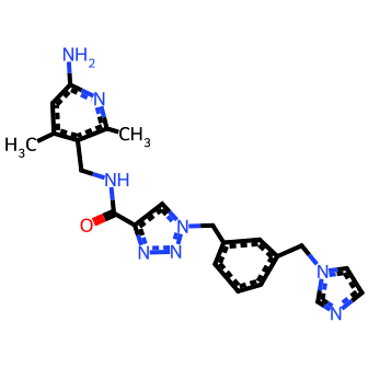 Cc1cc(N)nc(C)c1CNC(=O)c1cn(Cc2cccc(Cn3ccnc3)c2)nn1